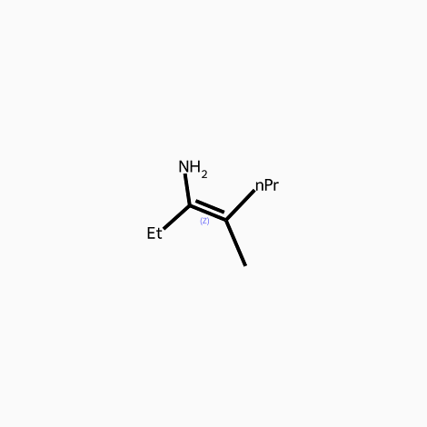 CCC/C(C)=C(\N)CC